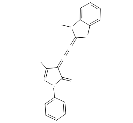 CCN1C(=C=C=C2C(=O)N(c3ccccc3)N=C2C)Sc2ccccc21